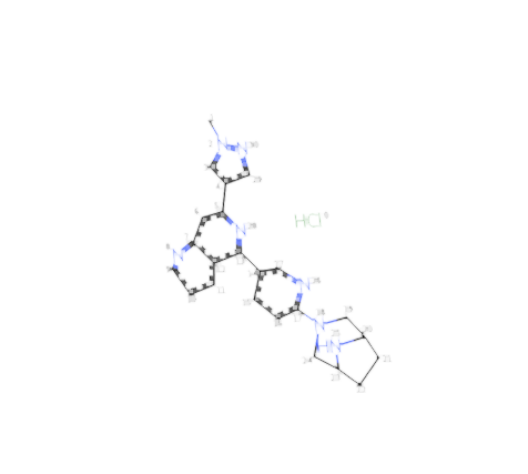 Cl.Cn1cc(-c2cc3ncccc3c(-c3ccc(N4CC5CCC(C4)N5)nc3)n2)cn1